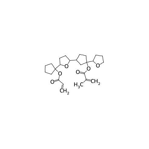 C=CC(=O)OC1(C2CCC(C3CCC(OC(=O)C(=C)C)(C4CCCO4)C3)O2)CCCC1